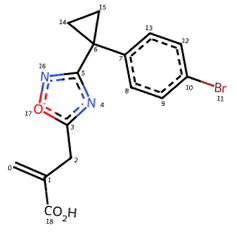 C=C(Cc1nc(C2(c3ccc(Br)cc3)CC2)no1)C(=O)O